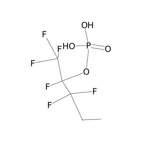 CCC(F)(F)C(F)(OP(=O)(O)O)C(F)(F)F